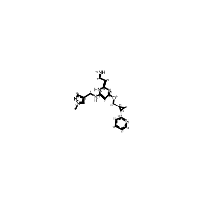 Cn1cc(CNC2=CC(OC[C@H]3C[C@@H]3c3ccccn3)=N/C(=C/C=N)N2)cn1